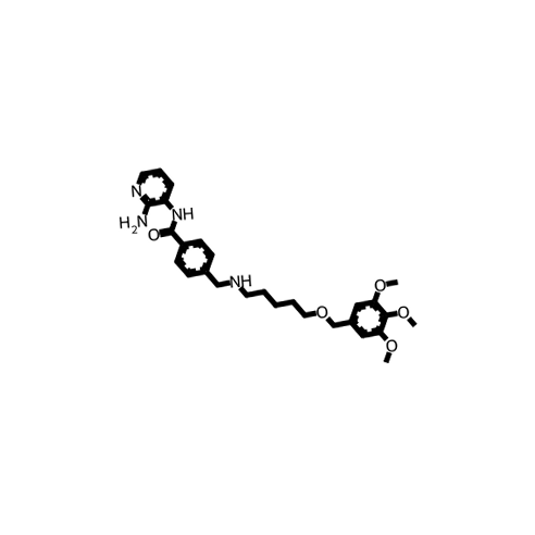 COc1cc(COCCCCCNCc2ccc(C(=O)Nc3cccnc3N)cc2)cc(OC)c1OC